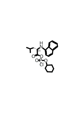 CC(C)C[C@H](Nc1cccc2ccccc12)C(=O)OP(=O)(Cl)OC1CCCCC1